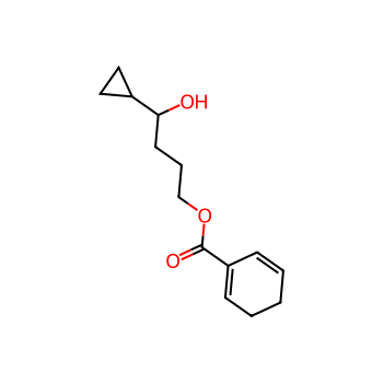 O=C(OCCCC(O)C1CC1)C1=CCCC=C1